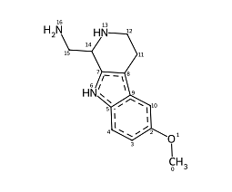 COc1ccc2[nH]c3c(c2c1)CCNC3CN